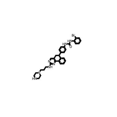 O=C(Nc1ccc(C2Cc3cnc(NCCCN4CCNCC4)nc3-c3ccccc32)cc1)Nc1ccccc1Br